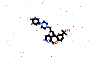 CC(C)(O)c1ccc2c(c1)/C(=C/CCN1CCN(c3ccc(Cl)cc3)CC1)c1cccnc1CO2